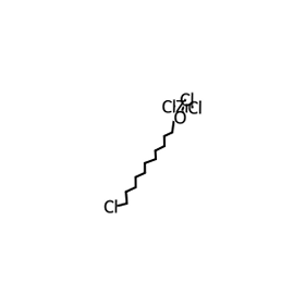 ClCCCCCCCCCCCC[O][Zr]([Cl])([Cl])[Cl]